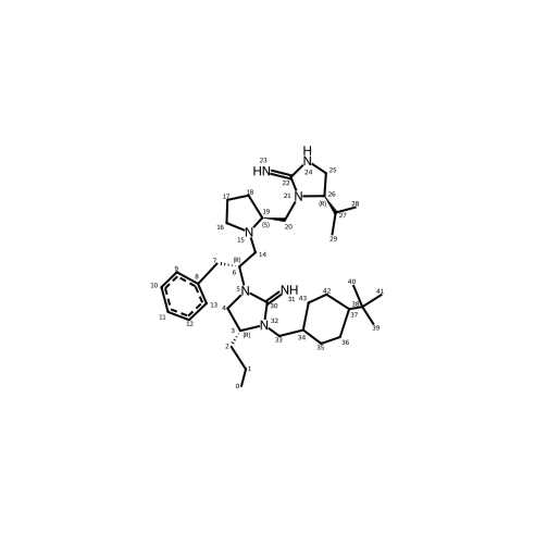 CCC[C@@H]1CN([C@H](Cc2ccccc2)CN2CCC[C@H]2CN2C(=N)NC[C@H]2C(C)C)C(=N)N1CC1CCC(C(C)(C)C)CC1